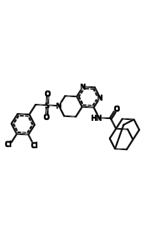 O=C(Nc1ncnc2c1CCN(S(=O)(=O)Cc1ccc(Cl)c(Cl)c1)C2)C12CC3CC(CC(C3)C1)C2